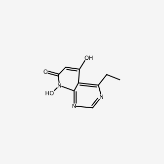 CCc1ncnc2c1c(O)cc(=O)n2O